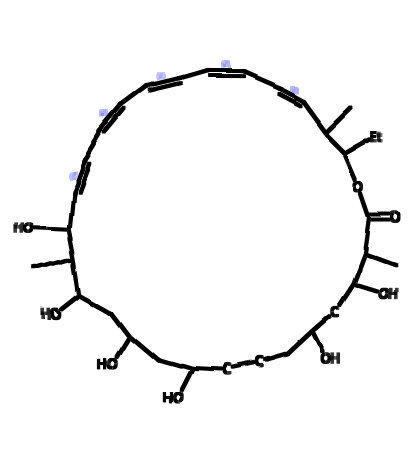 CCC1OC(=O)C(C)C(O)CC(O)CCCC(O)CC(O)CC(O)C(C)C(O)\C=C/C=C\C=C/C=C\C=C/C1C